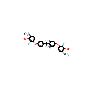 CC(C)(c1ccc(Oc2ccc([N+](=O)[O-])c(O)c2F)cc1)c1ccc(Oc2ccc([N+](=O)[O-])c(O)c2F)cc1